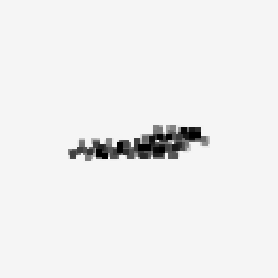 CCCCOCCOCCOc1ccc2cc(N)ccc2n1